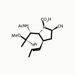 CC=C[C@@H]1C[C@H](C#N)N(C(=O)O)[C@H]1[C@@H](NC(C)=O)[C@](C)(CCC)OC